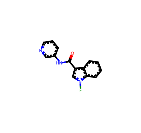 O=C(Nc1cccnc1)c1cn(F)c2ccccc12